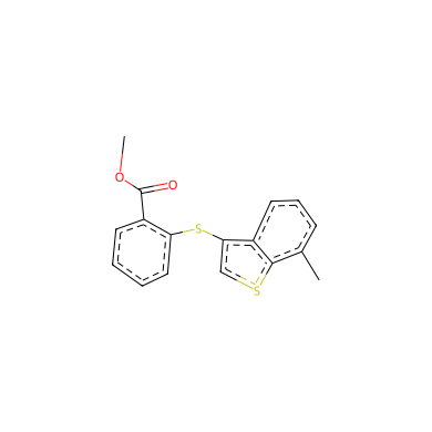 COC(=O)c1ccccc1Sc1csc2c(C)cccc12